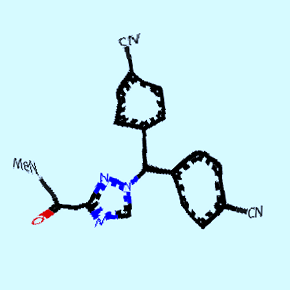 CNC(=O)c1ncn(C(c2ccc(C#N)cc2)c2ccc(C#N)cc2)n1